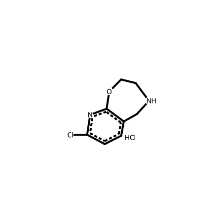 Cl.Clc1ccc2c(n1)OCCNC2